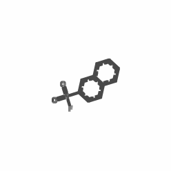 O=S(=O)(F)c1ccc2ccccc2c1